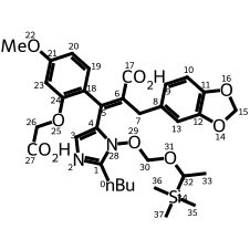 CCCCc1ncc(C(=C(Cc2ccc3c(c2)OCO3)C(=O)O)c2ccc(OC)cc2OCC(=O)O)n1OCOC(C)[Si](C)(C)C